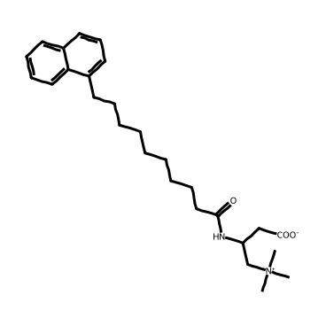 C[N+](C)(C)CC(CC(=O)[O-])NC(=O)CCCCCCCCCc1cccc2ccccc12